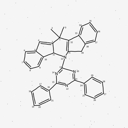 CC1(C)C2=Cc3ccccc3C2N(c2nc(-c3ccccc3)nc(-c3ccccc3)n2)C2=C1c1ccccc1C2